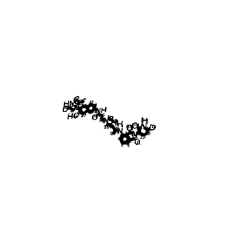 CC(Nc1cccc2c1C(=O)N(C1CCC(=O)NC1=O)C2=O)c1cn(CCC(=O)Nc2ccc3c(F)c(N4CC(=O)NS4(=O)=O)c(O)cc3c2)nn1